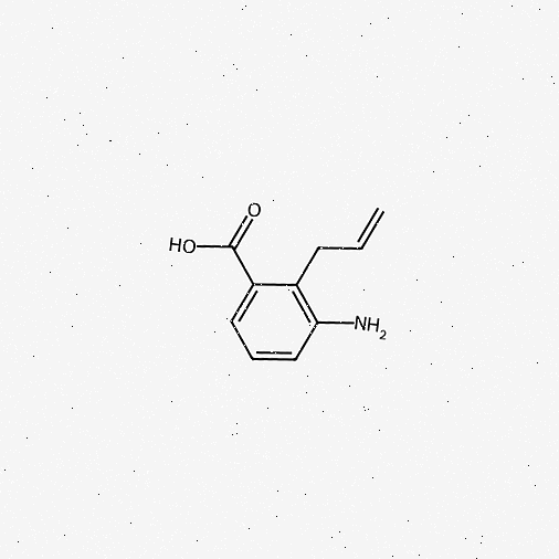 C=CCc1c(N)cccc1C(=O)O